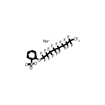 O=S(=O)([O-])c1ccccc1OC(F)(F)C(F)(F)C(F)(F)C(F)(F)C(F)(F)C(F)(F)C(F)(F)C(F)(F)C(F)(F)F.[Na+]